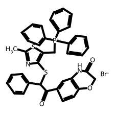 Cc1nc(SC(C(=O)c2ccc3c(c2)NC(=O)CO3)c2ccccc2)c(C[P+](c2ccccc2)(c2ccccc2)c2ccccc2)s1.[Br-]